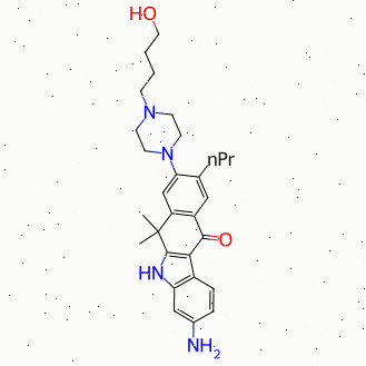 CCCc1cc2c(cc1N1CCN(CCCCO)CC1)C(C)(C)c1[nH]c3cc(N)ccc3c1C2=O